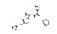 Nc1nc(/C(=N/OC2C=CCCC2)C(=O)NC2C(=O)N3C(C(=O)O)=C(CSc4nncs4)CS[C@H]23)ns1